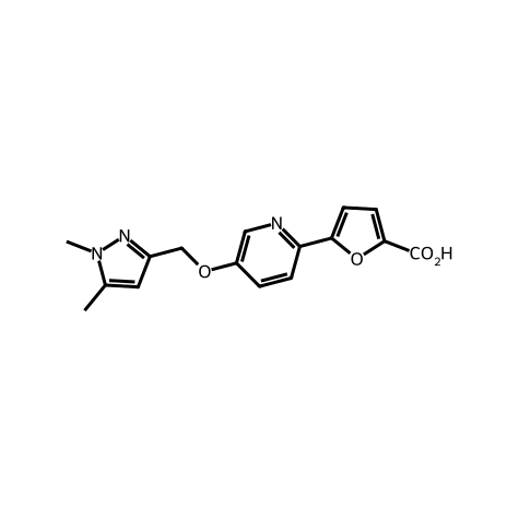 Cc1cc(COc2ccc(-c3ccc(C(=O)O)o3)nc2)nn1C